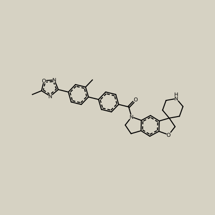 Cc1nc(-c2ccc(-c3ccc(C(=O)N4CCc5cc6c(cc54)C4(CCNCC4)CO6)cc3)c(C)c2)no1